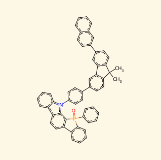 CC1(C)c2ccc(-c3ccc(-n4c5ccccc5c5ccc6c(c54)P(=O)(c4ccccc4)c4ccccc4-6)cc3)cc2-c2cc(-c3ccc4ccccc4c3)ccc21